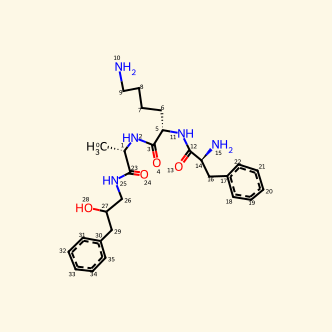 C[C@H](NC(=O)[C@H](CCCCN)NC(=O)[C@@H](N)Cc1ccccc1)C(=O)NCC(O)Cc1ccccc1